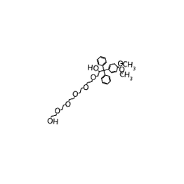 COC1(OC)C=CC(C(c2ccccc2)(c2ccccc2)C(O)COCCOCCOCCOCCOCCO)=CC1